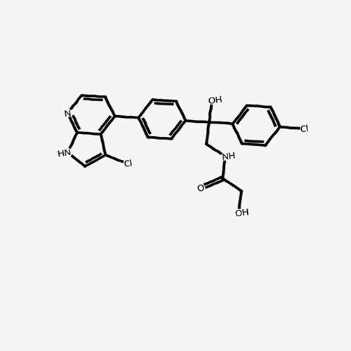 O=C(CO)NCC(O)(c1ccc(Cl)cc1)c1ccc(-c2ccnc3[nH]cc(Cl)c23)cc1